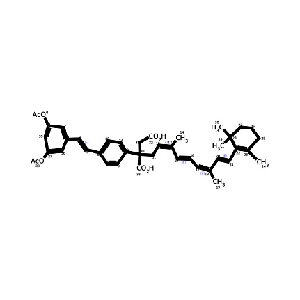 CC(=O)Oc1cc(/C=C/c2ccc(C(C\C=C(C)/C=C/C=C(C)\C=C\C3=C(C)CCCC3(C)C)(CC(=O)O)C(=O)O)cc2)cc(OC(C)=O)c1